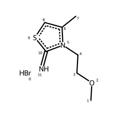 Br.COCCn1c(C)csc1=N